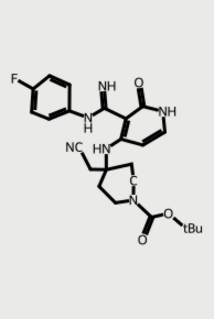 CC(C)(C)OC(=O)N1CCC(CC#N)(Nc2cc[nH]c(=O)c2C(=N)Nc2ccc(F)cc2)CC1